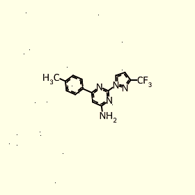 Cc1ccc(-c2cc(N)nc(-n3ccc(C(F)(F)F)n3)n2)cc1